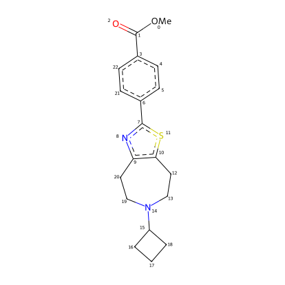 COC(=O)c1ccc(-c2nc3c(s2)CCN(C2CCC2)CC3)cc1